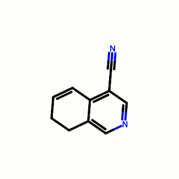 N#Cc1cncc2c1C=CCC2